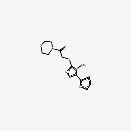 Cn1c(SCC(=O)N2CCOCC2)nnc1-c1ccco1